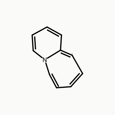 [C]1=C2C=CC=CN2C=CC=C1